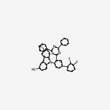 N#Cc1ccc2c(c1)c1cc(C#N)ccc1n2-c1ccc(-c2cccc(F)c2F)cc1-c1nc(-c2ccccc2)nc(-c2ccccc2)n1